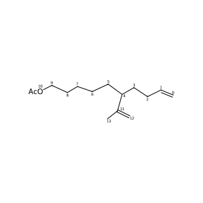 C=CCCC(CCCCCOC(C)=O)C(=C)C